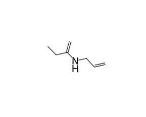 C=CCNC(=C)CC